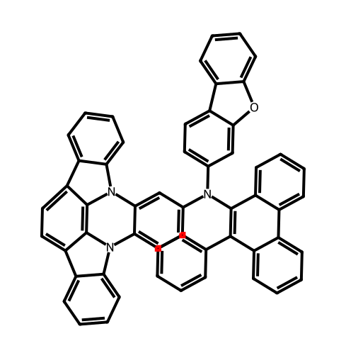 c1ccc(-c2c(N(c3ccc4c(c3)oc3ccccc34)c3ccc4c(c3)n3c5ccccc5c5ccc6c7ccccc7n4c6c53)c3ccccc3c3ccccc23)cc1